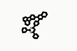 c1ccc(-c2cc(-c3ccc(-c4cc5ccccc5cc4-c4ccc5c(c4)-c4cccc6cccc-5c46)cc3)nc(-c3ccccc3)n2)cc1